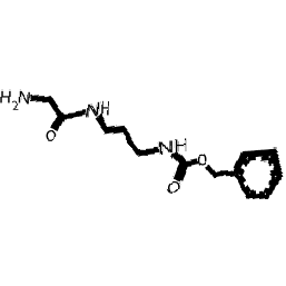 NCC(=O)NCCCNC(=O)OCc1ccccc1